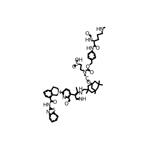 CNCCCC(NC=O)C(=O)Nc1ccc(COC(=O)N(CCOC23CC(C)(C)CC(C)(CC(C)(CN/C(C)=C(\C=N)c4ccc(N5CCc6cccc(C(=O)Nc7nc8ccccc8s7)c6C5)nc4C=O)C2)C3)CCS(=O)O)cc1